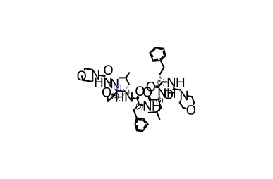 CC(C)C[C@H](NC(=O)[C@H](CCc1ccccc1)NC(=O)CN1CCOCC1)C(=O)N[C@@H](Cc1ccccc1)C(=O)N[C@@H](CC(C)C)/C(=N/NC(=O)N1CCOCC1)[C@@]1(C)CO1